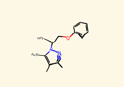 CCCC(COc1ccccc1)n1nc(C)c(C)c1OC(C)=O